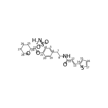 NS(=O)(=O)c1cc(CCNC(=O)C=Cc2cccs2)ccc1OCC1CCCCO1